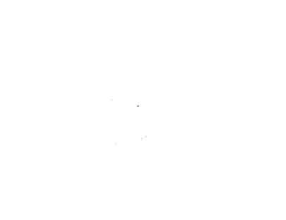 C=CCc1c(O)cccc1CCCCCCCCCCCC.CC(C)N